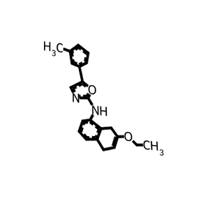 CCOC1=CCc2cccc(Nc3ncc(-c4cccc(C)c4)o3)c2C1